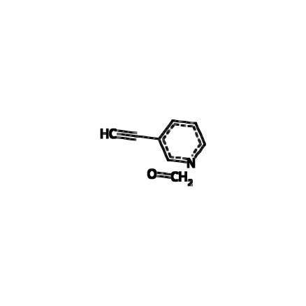 C#Cc1cccnc1.C=O